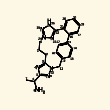 CCCc1nc(C(C)N)nn1Cc1ccc(-c2ccccc2-c2nnn[nH]2)cc1